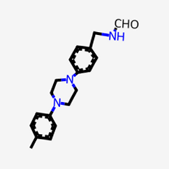 Cc1ccc(N2CCN(c3ccc(CNC=O)cc3)CC2)cc1